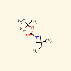 CCC1(C)CN(C(=O)OC(C)(C)C)C1